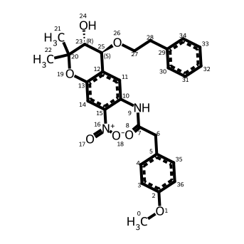 COc1ccc(CC(=O)Nc2cc3c(cc2[N+](=O)[O-])OC(C)(C)[C@H](O)[C@H]3OCCc2ccccc2)cc1